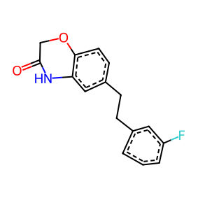 O=C1COc2ccc(CCc3cccc(F)c3)cc2N1